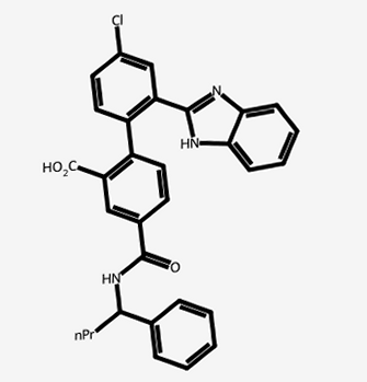 CCCC(NC(=O)c1ccc(-c2ccc(Cl)cc2-c2nc3ccccc3[nH]2)c(C(=O)O)c1)c1ccccc1